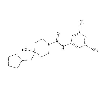 O=C(Nc1cc(C(F)(F)F)cc(C(F)(F)F)c1)N1CCC(O)(CC2CCCC2)CC1